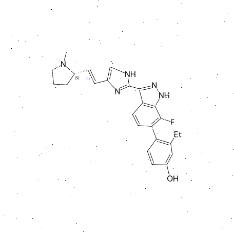 CCc1cc(O)ccc1-c1ccc2c(-c3nc(/C=C/[C@@H]4CCCN4C)c[nH]3)n[nH]c2c1F